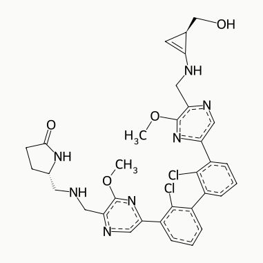 COc1nc(-c2cccc(-c3cccc(-c4cnc(CNC5=C[C@H]5CO)c(OC)n4)c3Cl)c2Cl)cnc1CNC[C@@H]1CCC(=O)N1